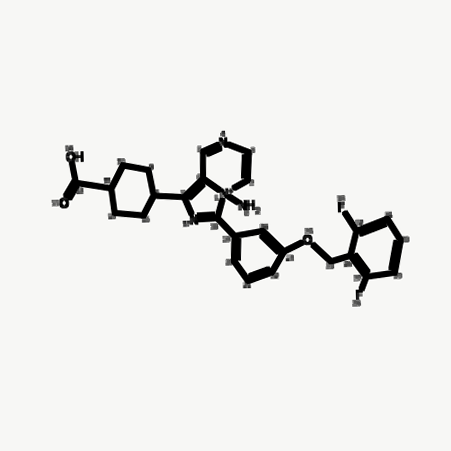 N[N+]12C=CN=CC1=C(C1CCC(C(=O)O)CC1)N=C2c1cccc(OCc2c(F)cccc2F)c1